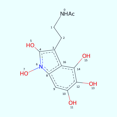 CC(=O)NCCc1c(O)n(O)c2cc(O)c(O)c(O)c12